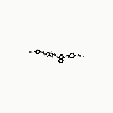 CCCCCC1CCC(CNc2ccc(N=Nc3nc4sc(N=Nc5ccc(CCCC)cc5)cc4s3)c3ccccc23)CC1